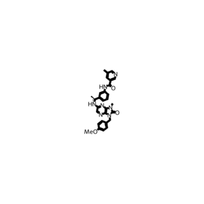 COc1ccc(Cn2c(=O)n(C)c3nc(N[C@@H](C)c4cccc(NC(=O)c5cncc(C)c5)c4)cnc32)cc1